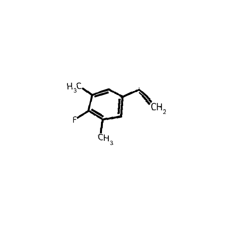 C=[C]c1cc(C)c(F)c(C)c1